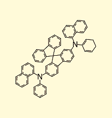 C1=CC(N(c2ccc3c(c2)C2(c4ccccc4-c4ccccc42)c2cc(N(c4ccccc4)c4cccc5ccccc45)ccc2-3)c2cccc3ccccc23)=CCC1